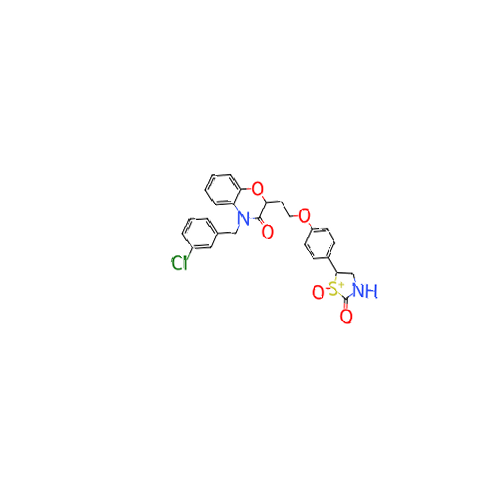 O=C1C(CCOc2ccc(C3CNC(=O)[S+]3[O-])cc2)Oc2ccccc2N1Cc1cccc(Cl)c1